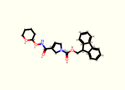 O=C(NOC1CCCCO1)C1=CCN(C(=O)OCC2c3ccccc3-c3ccccc32)C1